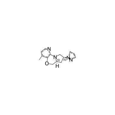 Cc1ccnc2c1OC[C@@H]1C[C@H](n3cccn3)CN21